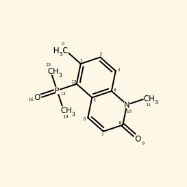 Cc1ccc2c(ccc(=O)n2C)c1P(C)(C)=O